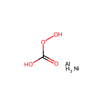 O=C(O)OO.[AlH3].[Ni]